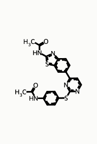 CC(=O)Nc1ccc(Sc2nccc(-c3ccc4nc(NC(C)=O)sc4c3)n2)cc1